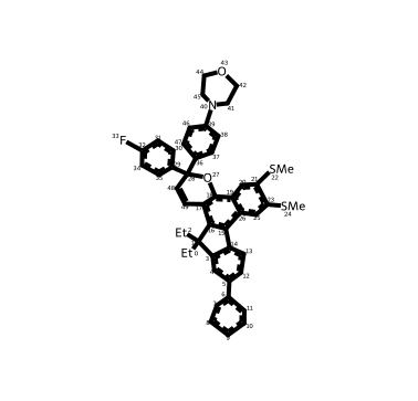 CCC1(CC)c2cc(-c3ccccc3)ccc2-c2c1c1c(c3cc(SC)c(SC)cc23)OC(c2ccc(F)cc2)(c2ccc(N3CCOCC3)cc2)C=C1